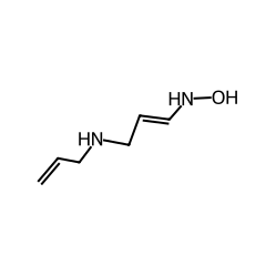 C=CCNCC=CNO